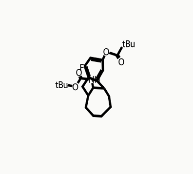 CC(C)(C)OC(=O)NC1C2CCCCCC1c1cc(OC(=O)C(C)(C)C)cc(F)c1C2